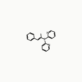 CC(=Cc1ccccc1)P(c1ccccn1)c1ccccn1